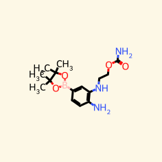 CC1(C)OB(c2ccc(N)c(NCCOC(N)=O)c2)OC1(C)C